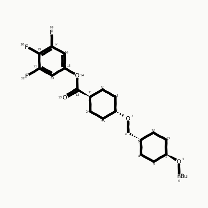 CCCCO[C@H]1CC[C@H](CO[C@H]2CC[C@H](C(=O)Oc3cc(F)c(F)c(F)c3)CC2)CC1